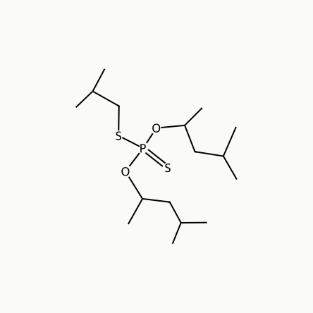 CC(C)CSP(=S)(OC(C)CC(C)C)OC(C)CC(C)C